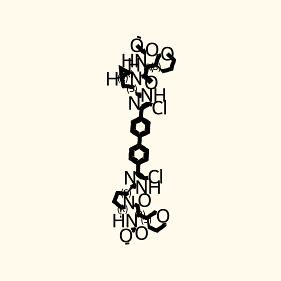 COC(=O)N[C@@H](C(=O)N1[C@H](C)CC[C@H]1c1nc(-c2ccc(-c3ccc(-c4nc([C@@H]5C[C@H]6C[C@H]6N5C(=O)[C@H](NC(=O)OC)[C@@H]5CCCOC5)[nH]c4Cl)cc3)cc2)c(Cl)[nH]1)[C@@H]1CCCOC1